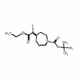 CCOC(=O)/C(F)=C1\CCCN(C(=O)OC(C)(C)C)CC1